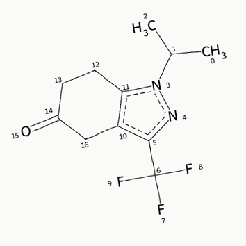 CC(C)n1nc(C(F)(F)F)c2c1CCC(=O)C2